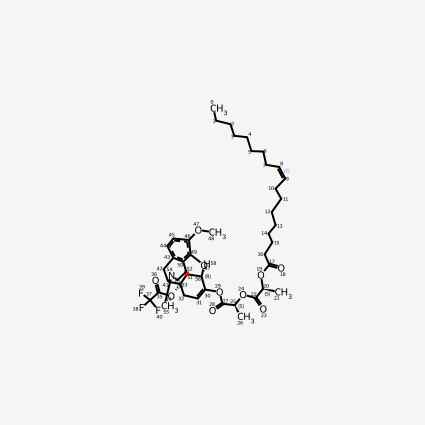 CCCCCCCC/C=C\CCCCCCCC(=O)O[C@@H](C)C(=O)O[C@@H](C)C(=O)OC1=CC[C@@]2(OC(=O)C(F)(F)F)C3Cc4ccc(OC)c5c4[C@@]2(CCN3C)[C@H]1O5